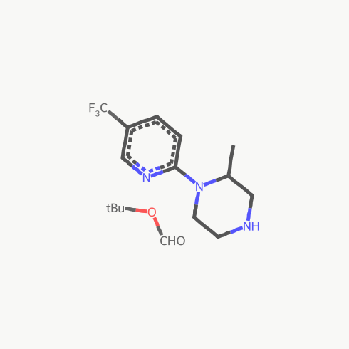 CC(C)(C)OC=O.CC1CNCCN1c1ccc(C(F)(F)F)cn1